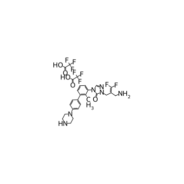 Cc1c(-c2ccc(N3CCNCC3)cc2)cccc1-n1cnn(CC(CN)=C(F)F)c1=O.O=C(O)C(F)(F)F.O=C(O)C(F)(F)F